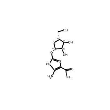 NC(=O)c1nc(O[C@@H]2O[C@H](CO)[C@@H](O)[C@H]2O)[nH]c1N